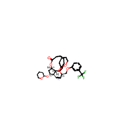 O=C1CCCC=CC[C@@H]2[C@@H](/C=C\[C@H](COc3cccc(C(F)(F)F)c3)OC3CCCCO3)[C@H](OC3CCCCO3)C[C@@H]2O1